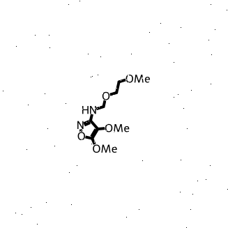 COCCOCNc1noc(OC)c1OC